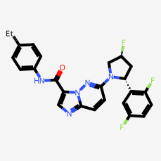 CCc1ccc(NC(=O)c2cnc3ccc(N4C[C@@H](F)C[C@@H]4c4cc(F)ccc4F)nn23)cc1